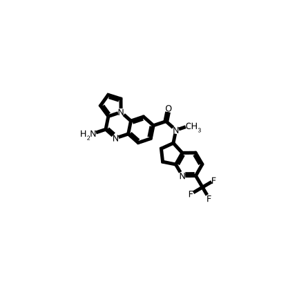 CN(C(=O)c1ccc2nc(N)c3cccn3c2c1)C1CCc2nc(C(F)(F)F)ccc21